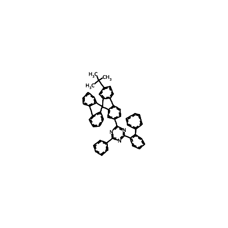 CC(C)(C)c1ccc2c(c1)C1(c3ccccc3-c3ccccc31)c1cc(-c3nc(-c4ccccc4)nc(-c4ccccc4-c4ccccc4)n3)ccc1-2